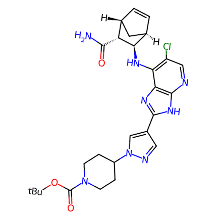 CC(C)(C)OC(=O)N1CCC(n2cc(-c3nc4c(N[C@H]5[C@H](C(N)=O)[C@@H]6C=C[C@@H]5C6)c(Cl)cnc4[nH]3)cn2)CC1